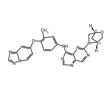 Cc1cc(Nc2ncnc3cnc(N4C[C@H]5C[C@@H]4CO5)nc23)ccc1Oc1ccn2ncnc2c1